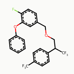 Fc1ccc(COCC(c2ccc(C(F)(F)F)cc2)C(F)(F)F)cc1Oc1ccccc1